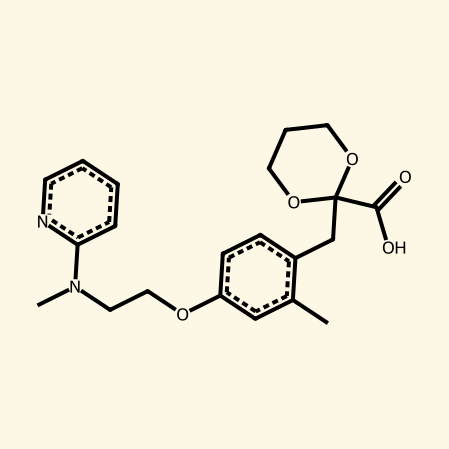 Cc1cc(OCCN(C)c2ccccn2)ccc1CC1(C(=O)O)OCCCO1